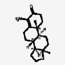 C[C@]12CCC(=O)C(N)=C1CC[C@@H]1[C@@H]2CC[C@]2(C)OCC[C@@H]12